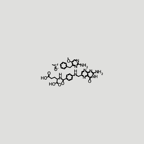 COc1cnc(N)nc1Cc1ccccc1.C[S+](C)[O-].Nc1nc2ncc(CNc3ccc(C(=O)NC(CCC(=O)O)C(=O)O)cc3)nc2c(=O)[nH]1